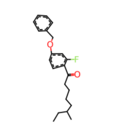 CCC(C)CCCCC(=O)c1ccc(OCc2ccccc2)cc1F